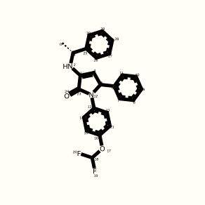 C[C@@H](NC1=CC(c2ccccc2)N(c2ccc(OC(F)F)cc2)C1=O)c1ccccc1